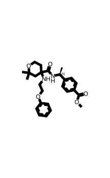 COC(=O)c1ccc([C@H](C)NC(=O)C2(NCCOc3ccccc3)CCOC(C)(C)C2)cc1